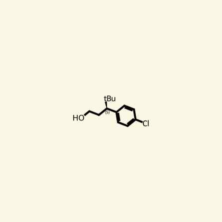 CC(C)(C)[C@H](CCO)c1ccc(Cl)cc1